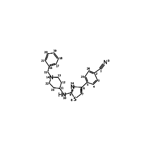 N#Cc1ccc(-c2csc(NC3CCN(Cc4ccccc4)CC3)n2)cc1